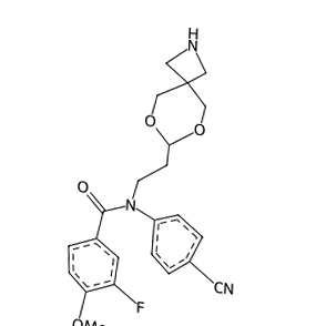 COc1ccc(C(=O)N(CCC2OCC3(CNC3)CO2)c2ccc(C#N)cc2)cc1F